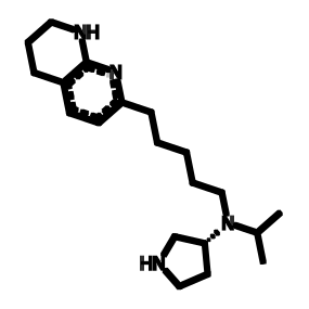 CC(C)N(CCCCCc1ccc2c(n1)NCCC2)[C@@H]1CCNC1